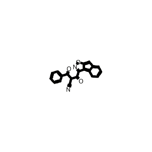 N#CC(C(=O)c1ccccc1)C(=O)c1noc2c1=C1CC=CC=C1C=2